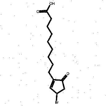 O=C(O)CCCCCCCCC1=CC(Br)CC1=O